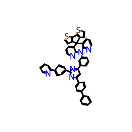 c1ccc(-c2ccc(-c3cc(-c4cccc(N5c6ncccc6C6(c7cccnc75)c5ccsc5-c5sccc56)c4)nc(-c4ccc(-c5ccccn5)cc4)n3)cc2)cc1